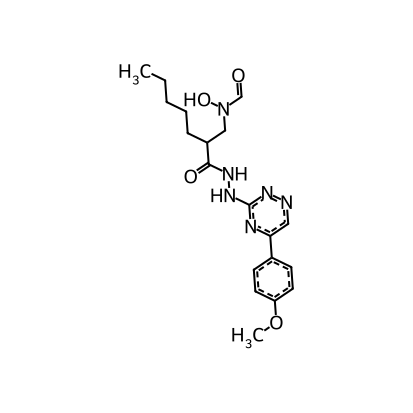 CCCCCC(CN(O)C=O)C(=O)NNc1nncc(-c2ccc(OC)cc2)n1